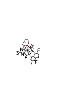 CSc1nc(N2CC3CCC(C3)C2)c2c(OC(C)C)nc(-c3cc(C)c(F)c4ccc(F)c(C#C[Si](C(C)C)(C(C)C)C(C)C)c34)c(F)c2n1